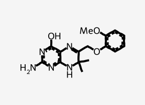 COc1ccccc1OCC1=Nc2c(O)nc(N)nc2NC1(C)C